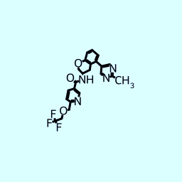 Cc1ncc(-c2cccc3c2C[C@H](NC(=O)c2ccc(COCC(F)(F)F)nc2)CO3)cn1